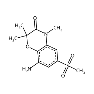 CN1C(=O)C(C)(C)Oc2c(N)cc(S(C)(=O)=O)cc21